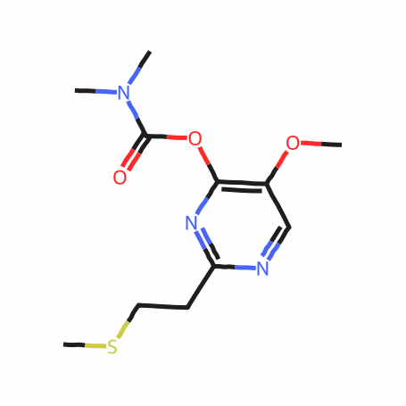 COc1cnc(CCSC)nc1OC(=O)N(C)C